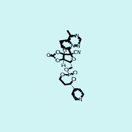 Cc1ncnn2c([C@]3(C#N)O[C@H](CO[P@@]4(=O)OCC[C@@H](c5ccncc5)O4)[C@H]4OC(=O)O[C@H]43)ccc12